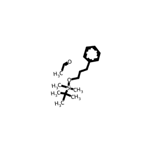 CC(C)(C)[Si](C)(C)OCCCc1ccccc1.CC=O